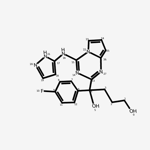 OCCCC(O)(c1ccc(F)cc1)c1nc(Nc2ccn[nH]2)n2cccc2n1